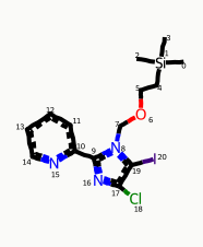 C[Si](C)(C)CCOCn1c(-c2ccccn2)nc(Cl)c1I